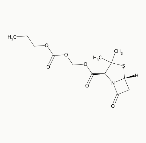 CCCOC(=O)OCOC(=O)[C@@H]1N2C(=O)C[C@H]2SC1(C)C